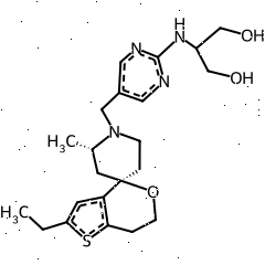 CCc1cc2c(s1)CCO[C@@]21CCN(Cc2cnc(NC(CO)CO)nc2)[C@@H](C)C1